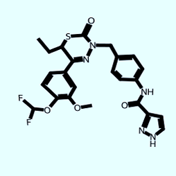 CCC1SC(=O)N(Cc2ccc(NC(=O)c3cc[nH]n3)cc2)N=C1c1ccc(OC(F)F)c(OC)c1